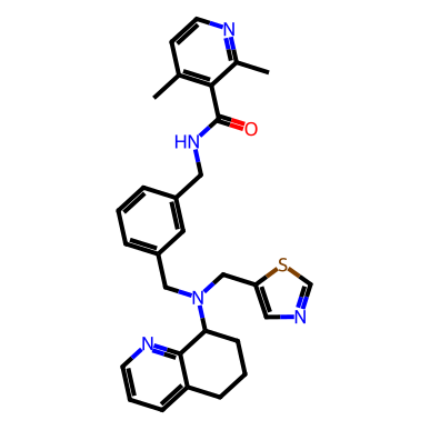 Cc1ccnc(C)c1C(=O)NCc1cccc(CN(Cc2cncs2)C2CCCc3cccnc32)c1